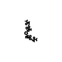 C=C(C)C(=O)N(C)CCOC(=O)NC(C)(C)c1cccc(C(C)(C)NC(=O)OCCN(C)C(=O)C(=C)C)c1